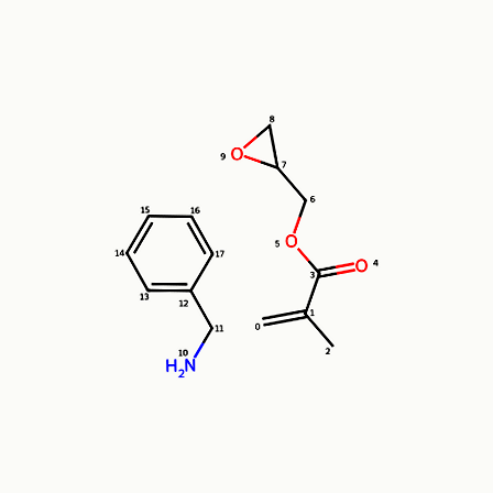 C=C(C)C(=O)OCC1CO1.NCc1ccccc1